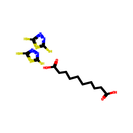 O=C(O)CCCCCCCCC(=O)O.Sc1nnc(S)s1.Sc1nnc(S)s1